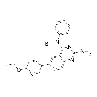 CCOc1ccc(-c2ccc3nc(N)nc(N(Br)c4ccccc4)c3c2)cn1